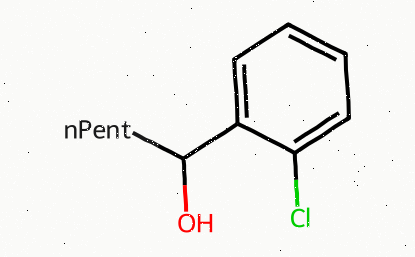 CCCCCC(O)c1ccccc1Cl